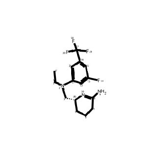 CCN(C[C@H]1CCCC(N)=N1)c1cc(F)cc(C(F)(F)F)c1